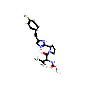 COC(=O)NC(C(=O)N1CCCC1c1ncc(C#Cc2ccc(Br)cc2)[nH]1)C(C)C